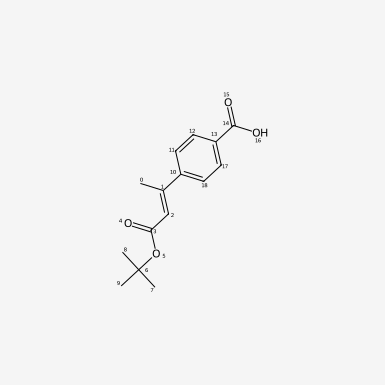 CC(=CC(=O)OC(C)(C)C)c1ccc(C(=O)O)cc1